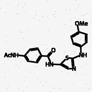 COc1ccc(Nc2ncc(NC(=O)c3ccc(NC(C)=O)cc3)s2)cc1